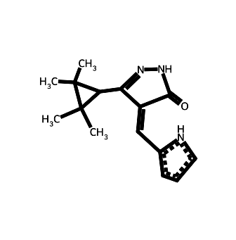 CC1(C)C(C2=NNC(=O)C2=Cc2ccc[nH]2)C1(C)C